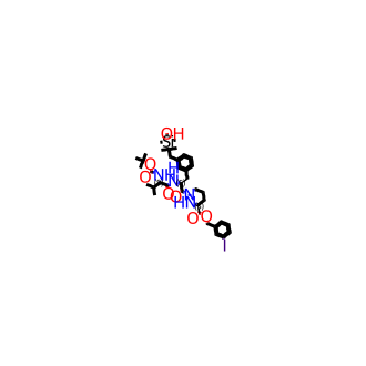 CC(C)[C@H](NC(=O)OC(C)(C)C)C(=O)N[C@@H](Cc1cccc(CC(C)(C)[Si](C)(C)O)c1)C(=O)N1CCC[C@@H](C(=O)OCc2cccc(I)c2)N1